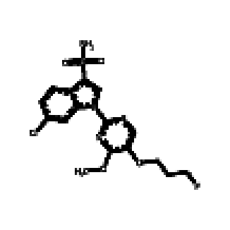 COc1nc(-n2cc(S(N)(=O)=O)c3ccc(Cl)cc32)ncc1OCCCF